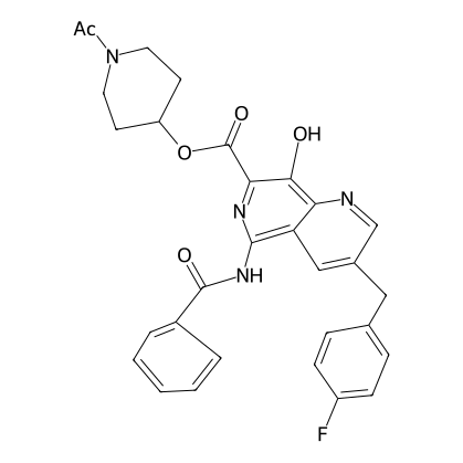 CC(=O)N1CCC(OC(=O)c2nc(NC(=O)c3ccccc3)c3cc(Cc4ccc(F)cc4)cnc3c2O)CC1